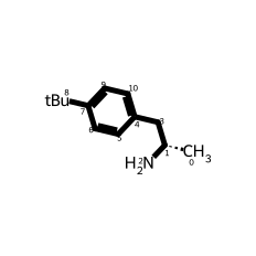 C[C@H](N)Cc1ccc(C(C)(C)C)cc1